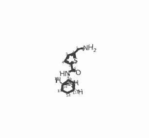 NCc1ccc(C(=O)N[C@@H]2C[C@H]3CC[C@@H]2N3)s1